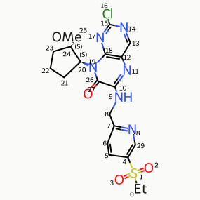 CCS(=O)(=O)c1ccc(CNc2nc3cnc(Cl)nc3n([C@H]3CCC[C@@H]3OC)c2=O)nc1